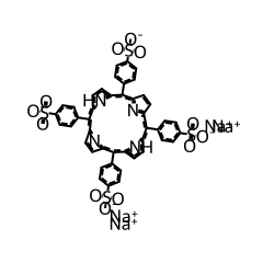 O=S(=O)([O-])c1ccc(-c2c3nc(c(-c4ccc(S(=O)(=O)[O-])cc4)c4ccc([nH]4)c(-c4ccc(S(=O)(=O)[O-])cc4)c4nc(c(-c5ccc(S(=O)(=O)[O-])cc5)c5ccc2[nH]5)C=C4)C=C3)cc1.[Na+].[Na+].[Na+].[Na+]